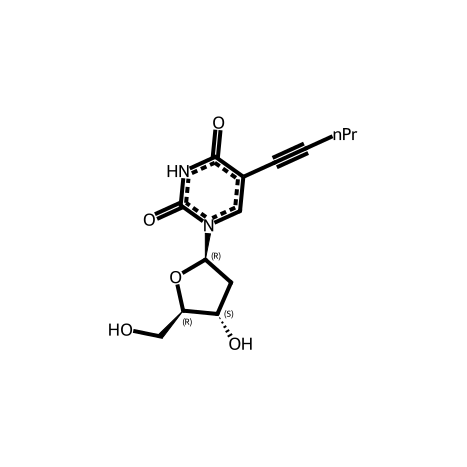 CCCC#Cc1cn([C@H]2C[C@H](O)[C@@H](CO)O2)c(=O)[nH]c1=O